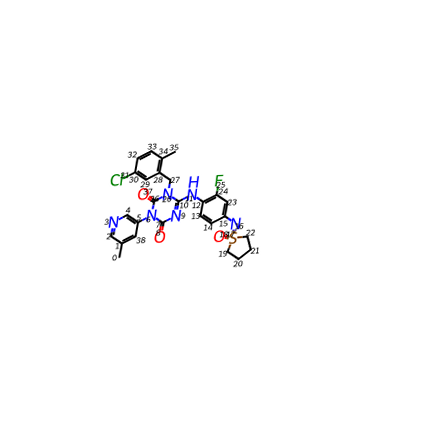 Cc1cncc(-n2c(=O)nc(Nc3ccc(N=S4(=O)CCCC4)cc3F)n(Cc3cc(Cl)ccc3C)c2=O)c1